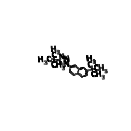 CC(C)(C)c1ccc2ccc(-n3cc(C(C)(C)C)nn3)cc2c1